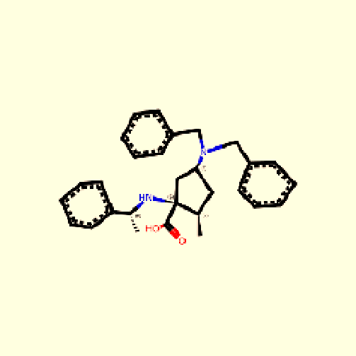 C[C@@H]1C[C@H](N(Cc2ccccc2)Cc2ccccc2)C[C@@]1(N[C@H](C)c1ccccc1)C(=O)O